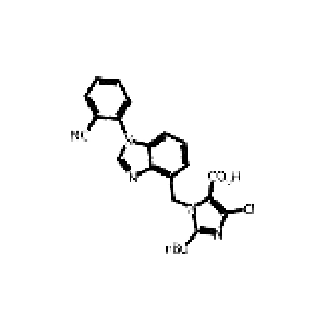 CCCCc1nc(Cl)c(C(=O)O)n1Cc1cccc2c1ncn2-c1ccccc1C#N